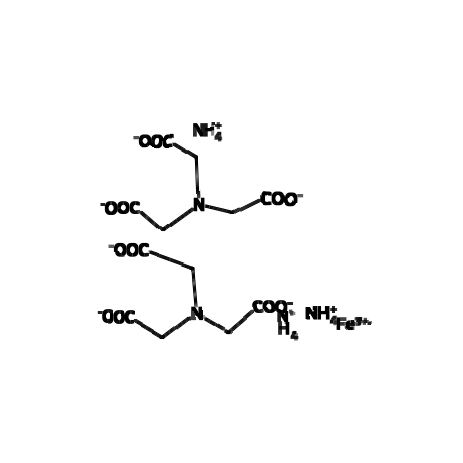 O=C([O-])CN(CC(=O)[O-])CC(=O)[O-].O=C([O-])CN(CC(=O)[O-])CC(=O)[O-].[Fe+3].[NH4+].[NH4+].[NH4+]